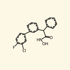 O=C(NO)C(c1ccccc1)c1cccc(-c2ccc(F)c(Cl)c2)c1